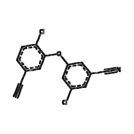 C#Cc1ccc(Cl)c(Oc2cc(Cl)cc(C#N)c2)c1